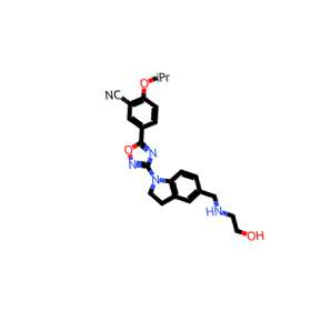 CC(C)Oc1ccc(-c2nc(N3CCc4cc(CNCCO)ccc43)no2)cc1C#N